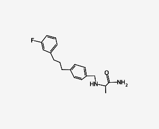 CC(NCc1ccc(CCCc2cccc(F)c2)cc1)C(N)=O